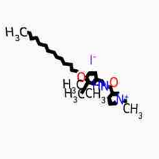 CCCCCCCCCCCCCCOc1ccc(CNC(=O)c2ccc[n+](CC)c2)cc1C(C)(C)C.[I-]